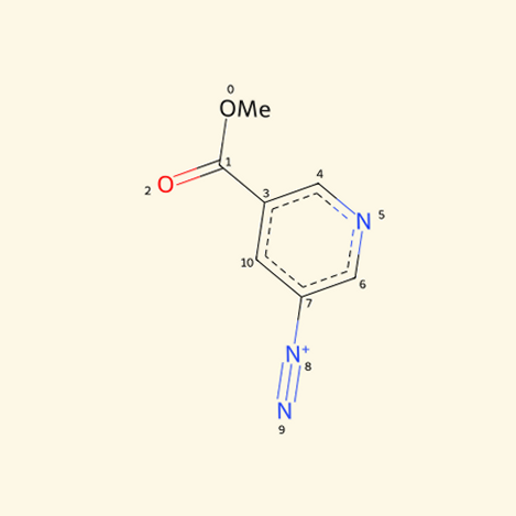 COC(=O)c1cncc([N+]#N)c1